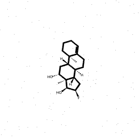 C[C@]12[C@H](O)C[C@H]3[C@@H](CCC4=CCCC[C@@]43C)[C@@H]1C[C@@H](F)[C@H]2O